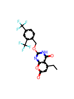 CCc1cc(=O)oc2nc(OCc3ccc(C(F)(F)F)cc3C(F)(F)F)[nH]c(=O)c12